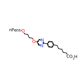 CCCCCOCCCCOc1cnc(-c2ccc(CCCCCC(=O)O)cc2)nc1